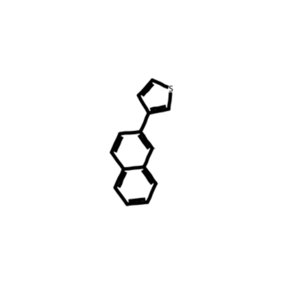 [c]1c(-c2ccsc2)ccc2ccccc12